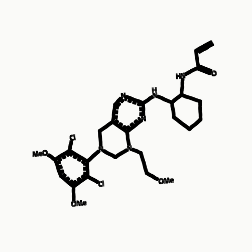 C=CC(=O)NC1CCCCC1Nc1ncc2c(n1)N(CCOC)CN(c1c(Cl)c(OC)cc(OC)c1Cl)C2